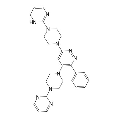 C1=CN=C(N2CCN(c3cc(N4CCN(c5ncccn5)CC4)c(-c4ccccc4)nn3)CC2)NC1